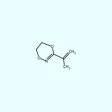 C=C(C)C1=NOCCO1